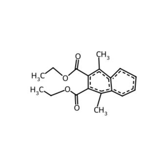 CCOC(=O)c1c(C(=O)OCC)c(C)c2ccccc2c1C